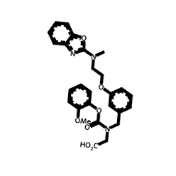 COc1ccccc1OC(=O)N(CC(=O)O)Cc1cccc(OCCN(C)c2nc3ccccc3o2)c1